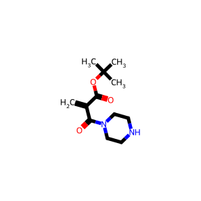 C=C(C(=O)OC(C)(C)C)C(=O)N1CCNCC1